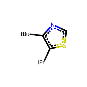 CC(C)c1scnc1C(C)(C)C